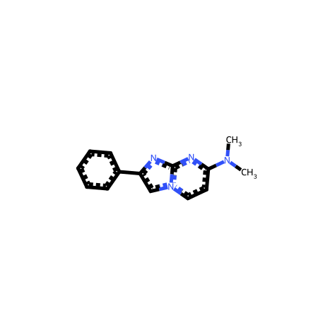 CN(C)c1ccn2cc(-c3ccccc3)nc2n1